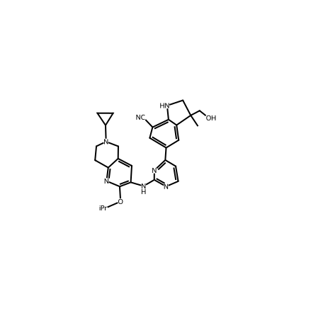 CC(C)Oc1nc2c(cc1Nc1nccc(-c3cc(C#N)c4c(c3)C(C)(CO)CN4)n1)CN(C1CC1)CC2